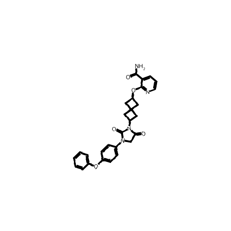 NC(=O)c1cccnc1OC1CC2(C1)CC(N1C(=O)CN(c3ccc(Oc4ccccc4)cc3)C1=O)C2